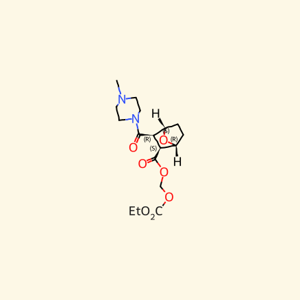 CCOC(=O)OCOC(=O)[C@H]1[C@@H](C(=O)N2CCN(C)CC2)[C@@H]2CC[C@H]1O2